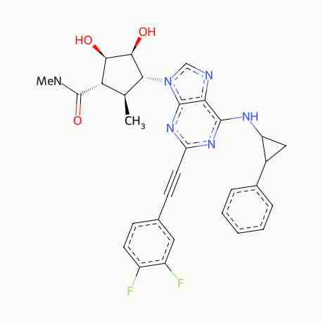 CNC(=O)[C@H]1[C@H](C)[C@@H](n2cnc3c(NC4CC4c4ccccc4)nc(C#Cc4ccc(F)c(F)c4)nc32)[C@H](O)[C@@H]1O